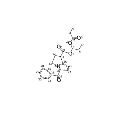 CCC(=O)OC(CC)OC(=O)C1CCn2c(C(=O)c3ccccc3)ccc21